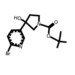 CC(C)(C)OC(=O)N1CCC(O)(c2ccc(Br)nc2)C1